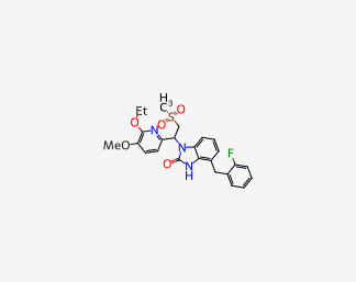 CCOc1nc(C(CS(C)(=O)=O)n2c(=O)[nH]c3c(Cc4ccccc4F)cccc32)ccc1OC